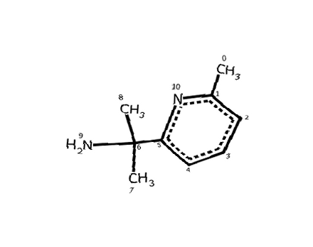 Cc1cccc(C(C)(C)N)n1